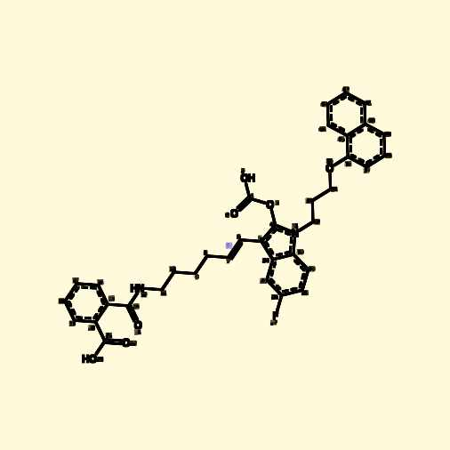 O=C(O)Oc1c(/C=C/CCCCNC(=O)c2ccccc2C(=O)O)c2cc(F)ccc2n1CCCOc1cccc2ccccc12